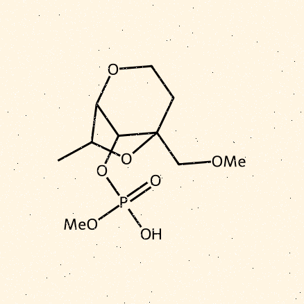 COCC12CCOC(C(C)O1)C2OP(=O)(O)OC